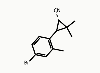 Cc1cc(Br)ccc1C1[C@H](C#N)C1(C)C